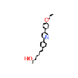 C=CCOc1ccc(-c2ccc(-c3ccc(C=CCCCC(C)O)cc3)nc2)cc1